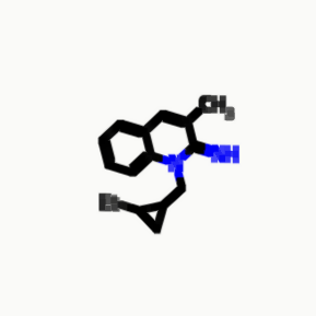 CCC1CC1Cn1c(=N)c(C)cc2ccccc21